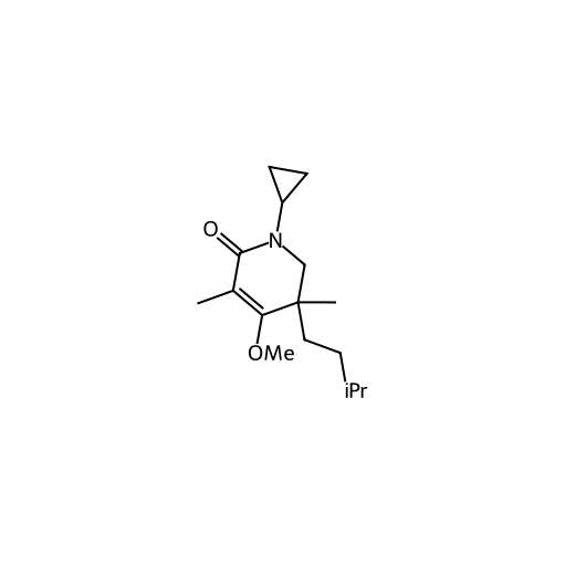 COC1=C(C)C(=O)N(C2CC2)CC1(C)CCC(C)C